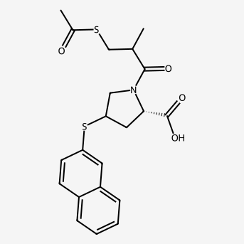 CC(=O)SCC(C)C(=O)N1CC(Sc2ccc3ccccc3c2)C[C@H]1C(=O)O